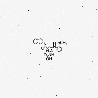 COc1ccccc1Nc1cc(C(=O)NC2CCc3ccccc3C2)nc(NC(=O)O)n1